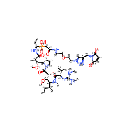 CC[C@H](NC(=O)[C@H](C)[C@@H](OC)[C@@H]1CCCN1C(=O)C[C@@H](OC)[C@H]([C@@H](C)CC)N(C)C(=O)[C@@H](N=C(N(C)C)N(C)C)C(C)C)P(=O)(O)CC(=O)NCCOCCn1cc(CN2C(=O)C=CC2=O)nn1